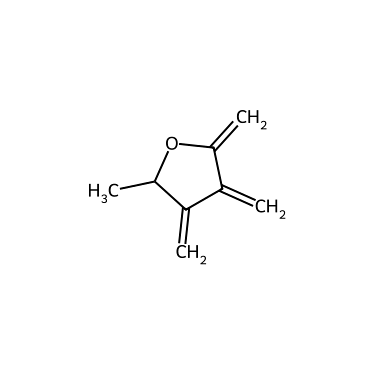 C=C1OC(C)C(=C)C1=C